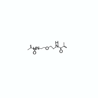 C=C(C)C(=O)NCCOCCNC(=O)C(=C)C